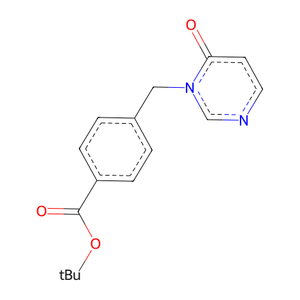 CC(C)(C)OC(=O)c1ccc(Cn2cnccc2=O)cc1